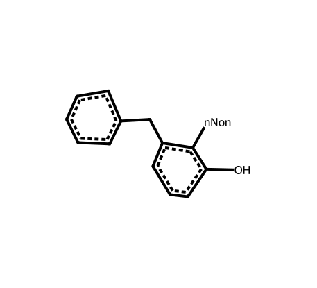 CCCCCCCCCc1c(O)cccc1Cc1ccccc1